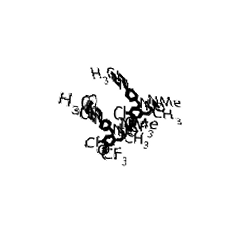 CNC(=O)N1N=C(c2ccc(N3CCN(C)CC3)cc2)c2cc(Cl)c(OC(F)(F)F)cc2CC1C.CNC(=O)N1N=C(c2ccc(N3CCN(S(C)(=O)=O)CC3)cc2)c2cc(Cl)c(OC(F)(F)F)cc2CC1C